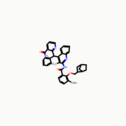 COc1cccc(C(=O)Nc2nc3ccccc3c(C(c3ccccc3)c3ncccc3C(N)=O)c2C(=O)O)c1OCC1CC2CCC1C2